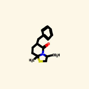 CC12CCC(Cc3ccccc3)C(=O)N1C(C(=O)O)CS2